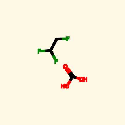 FCC(F)F.O=C(O)O